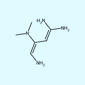 CN(C)/C(C=C(N)N)=C/N